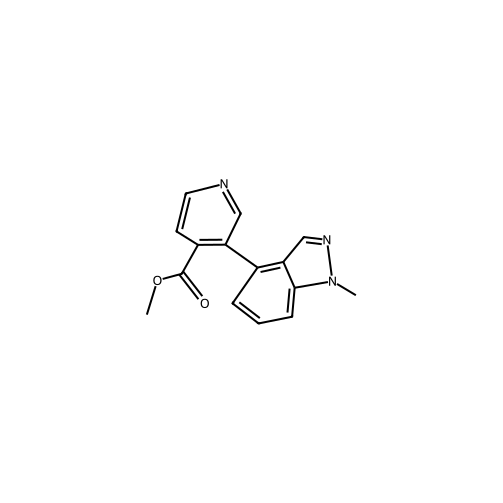 COC(=O)c1ccncc1-c1cccc2c1cnn2C